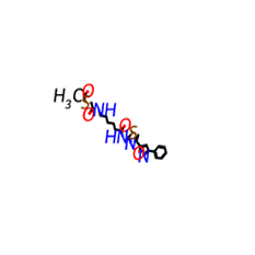 CC(=O)SCC(=O)NCCCCCC(=O)Nc1nc(-c2cc(-c3ccccc3)no2)cs1